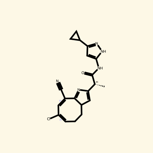 C[C@@H](C(=O)Nc1cc(C2CC2)n[nH]1)C1=CC2CC/C=C(Cl)\C=C(\C#N)C2=N1